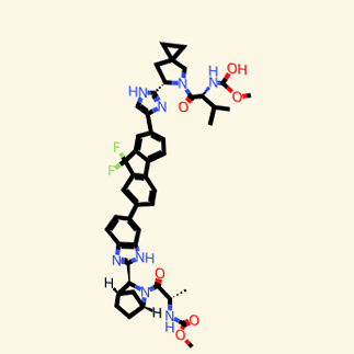 COC(=O)N[C@@H](C)C(=O)N1[C@@H]2CC[C@@H](C2)[C@H]1c1nc2ccc(-c3ccc4c(c3)C(F)(F)c3cc(-c5c[nH]c([C@@H]6CC7(CC7)CN6C(=O)[C@@H](NC(O)OC)C(C)C)n5)ccc3-4)cc2[nH]1